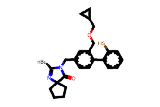 CCCCC1=NC2(CCCC2)C(=O)N1Cc1ccc(-c2ccccc2S)c(COCC2CC2)c1